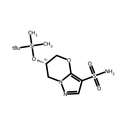 CC(C)(C)[Si](C)(C)O[C@@H]1COc2c(S(N)(=O)=O)cnn2C1